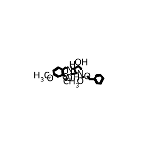 COc1ccc(CN2C(=O)[C@@H]3[C@H]2[C@@H](O)CN3C(=O)OCc2ccccc2)c(OC)c1